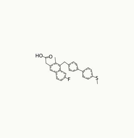 CSc1ccc(-c2ccc(Cc3c(C)c(CC(=O)O)cc4ccc(F)cc34)cc2)cc1